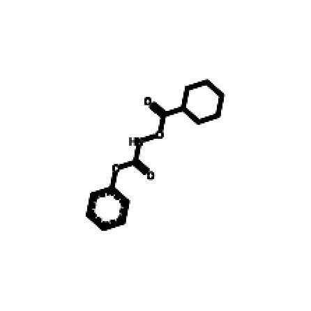 O=C(NOC(=O)C1CCCCC1)Oc1ccccc1